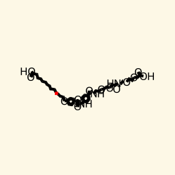 O=C(O)CCCCCCCCCCCCCOc1ccc(S(=O)(=O)Nc2ccc(C(=O)NCCOCCOCC(=O)NCCOCCOCC(=O)O)cc2)cc1